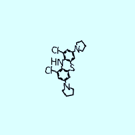 Clc1cc(N2CCCC2)cc2c1Nc1c(Cl)cc(N3CCCC3)cc1S2